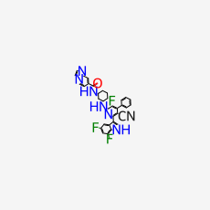 N#Cc1c(-c2c[nH]c3c(F)cc(F)cc23)nc(N[C@H]2CCC[C@@H](NC(=O)c3ccn4ccnc4c3)C2)c(F)c1-c1ccccc1